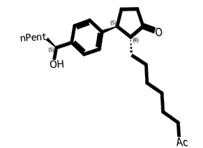 CCCCC[C@H](O)c1ccc([C@H]2CCC(=O)[C@@H]2CCCCCCC(C)=O)cc1